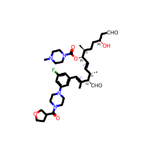 C/C(=C\c1cc(F)cc(N2CCN(C(=O)C3CCOC3)CC2)c1)[C@@H](C=O)[C@@H](C)/C=C/[C@H](OC(=O)N1CCN(C)CC1)[C@@H](C)CC[C@@H](O)CC=O